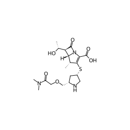 C[C@@H](O)[C@H]1C(=O)N2C(C(=O)O)=C(S[C@@H]3CN[C@H](COCC(=O)N(C)C)C3)[C@H](C)[C@H]12